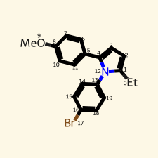 CCc1ccc(-c2ccc(OC)cc2)n1-c1ccc(Br)cc1